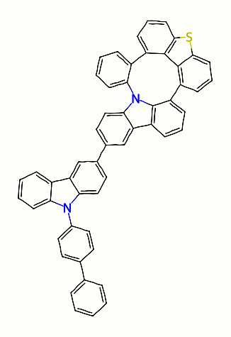 c1ccc(-c2ccc(-n3c4ccccc4c4cc(-c5ccc6c(c5)c5cccc7c8cccc9sc%10cccc(c%11ccccc%11n6c75)c%10c98)ccc43)cc2)cc1